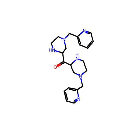 O=C(C1CN(Cc2ccccn2)CCN1)C1CN(Cc2ccccn2)CCN1